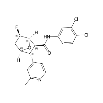 Cc1cc([C@H]2[C@H](C(=O)Nc3ccc(Cl)c(Cl)c3)[C@H]3O[C@@H]2C[C@H]3F)ccn1